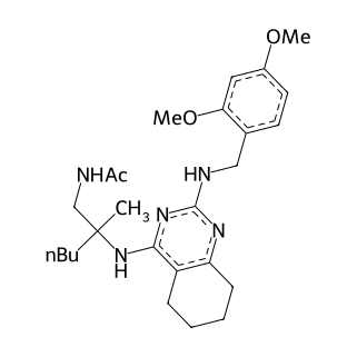 CCCCC(C)(CNC(C)=O)Nc1nc(NCc2ccc(OC)cc2OC)nc2c1CCCC2